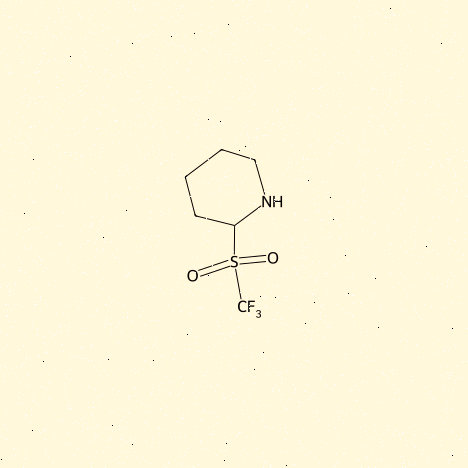 O=S(=O)(C1CCCCN1)C(F)(F)F